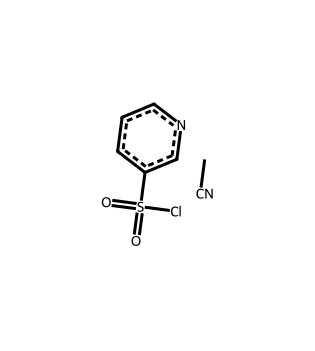 CC#N.O=S(=O)(Cl)c1cccnc1